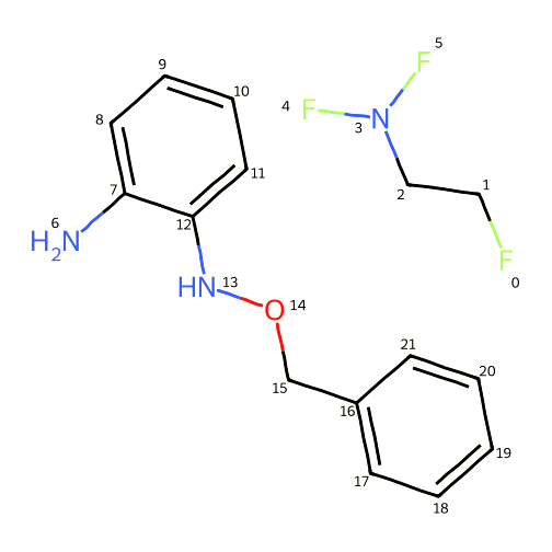 FCCN(F)F.Nc1ccccc1NOCc1ccccc1